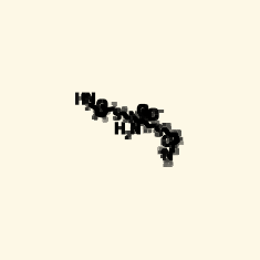 CNCc1ccc(CSCCNC(N)=C(CCSCc2ccc(CN(C)C)o2)[N+](=O)[O-])o1